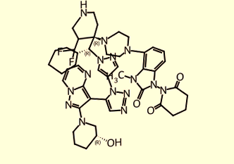 Cn1c(=O)n(N2C(=O)CCCC2=O)c2cccc(N3CCN([C@]4([C@@H](C5CCCCC5)n5cc(-n6nncc6-c6c(N7CCC[C@@H](O)C7)nn7cccnc67)cn5)CCNCC4C(F)F)CC3)c21